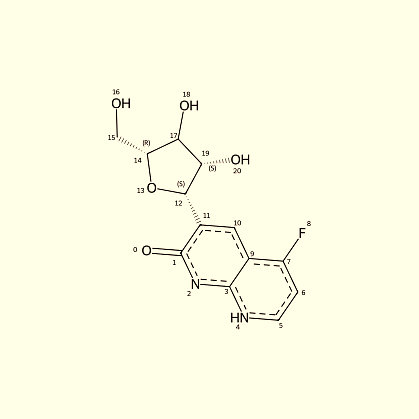 O=c1nc2[nH]ccc(F)c-2cc1[C@@H]1O[C@H](CO)C(O)[C@@H]1O